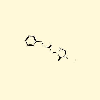 O=C(NN1CCN(C(=O)O)C1=O)OCc1ccccc1